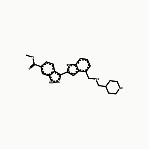 COC(=O)c1ccc2c(-c3cc4c(CNCC5CCNCC5)cccc4[nH]3)n[nH]c2c1